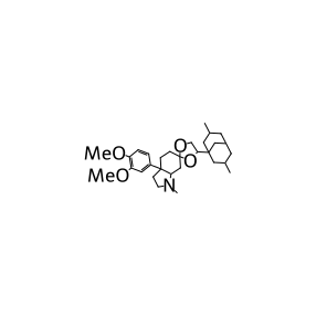 COc1ccc(C23CCN(C)C2CC2(CC3)OCC(C34CC(C)CC(CC(C)C3)C4)O2)cc1OC